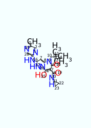 Cc1cnc(NC2C=C3N(CC(C)(C)C)C(=O)C(C(=O)NC4CC4)=C(O)N3N2)cn1